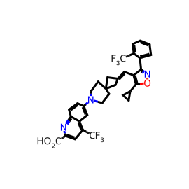 O=C(O)c1cc(C(F)(F)F)c2cc(N3CCC4(CC3)CC(=Cc3c(-c5ccccc5C(F)(F)F)noc3C3CC3)C4)ccc2n1